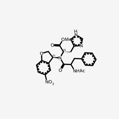 COC(=O)[C@H](Cc1c[nH]cn1)N(C(=O)C(Cc1ccccc1)NC(C)=O)[C@@H]1COc2ccc([N+](=O)[O-])cc21